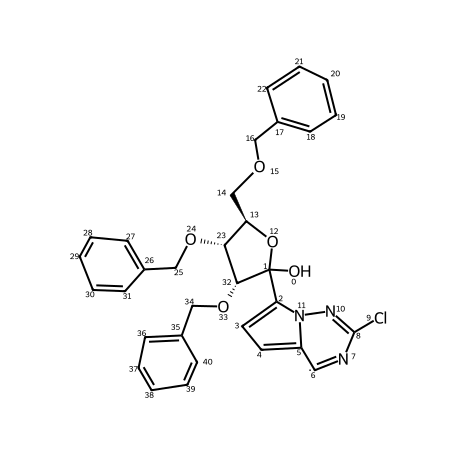 OC1(c2ccc3[c]nc(Cl)nn23)O[C@H](COCc2ccccc2)[C@@H](OCc2ccccc2)[C@H]1OCc1ccccc1